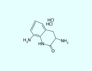 Cl.Cl.Nc1cccc2c1NC(=O)C(N)C2